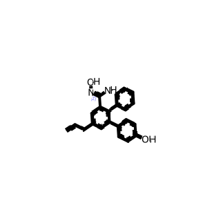 C=CCc1cc(/C(N)=N/O)c(-c2ccccc2)c(-c2ccc(O)cc2)c1